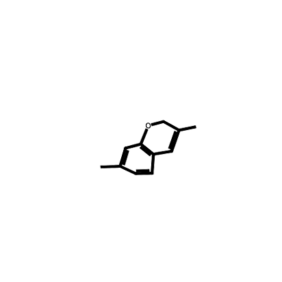 CC1=Cc2ccc(C)cc2OC1